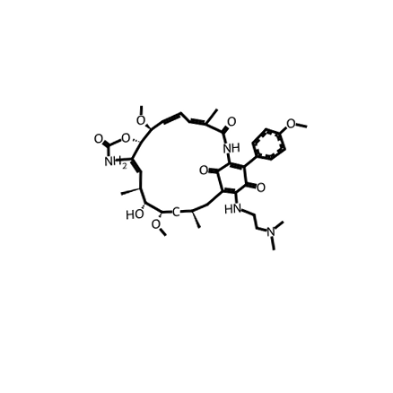 COc1ccc(C2=C3NC(=O)/C(C)=C/C=C\[C@H](OC)[C@@H](OC(N)=O)/C(C)=C/[C@H](C)[C@@H](O)[C@@H](OC)C[C@H](C)CC(=C(NCCN(C)C)C2=O)C3=O)cc1